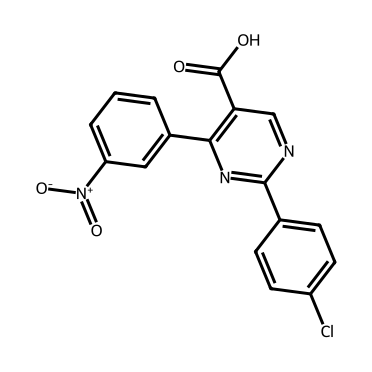 O=C(O)c1cnc(-c2ccc(Cl)cc2)nc1-c1cccc([N+](=O)[O-])c1